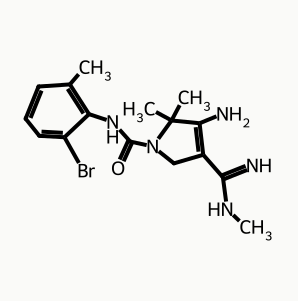 CNC(=N)C1=C(N)C(C)(C)N(C(=O)Nc2c(C)cccc2Br)C1